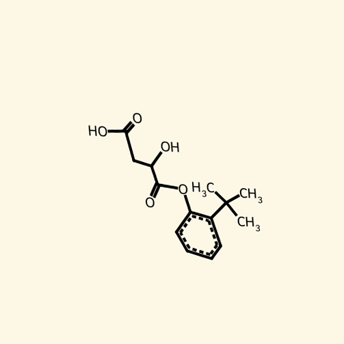 CC(C)(C)c1ccccc1OC(=O)C(O)CC(=O)O